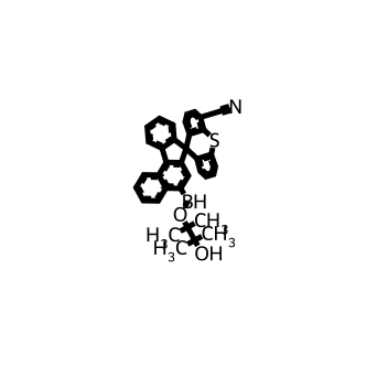 CC(C)(O)C(C)(C)OBc1cc2c(c3ccccc13)-c1ccccc1C21c2ccccc2Sc2c(C#N)cccc21